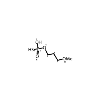 COCCCOP(=O)(O)S